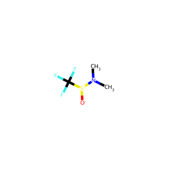 CN(C)[S+]([O-])C(F)(F)F